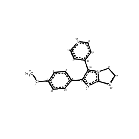 COc1ccc(-c2nc3n(c2-c2ccncc2)CCS3)cc1